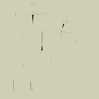 CO[C@@]1(C)O[C@@H]2[C@H](OCc3ccccc3)OC[C@@H](C(C)(C)N)[C@H]2O[C@]1(C)OC